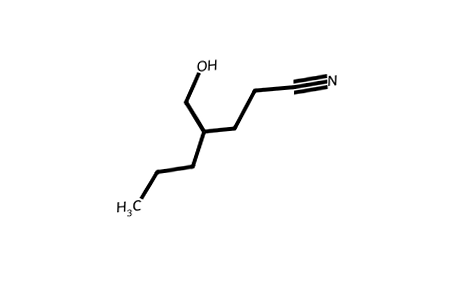 CCCC(CO)CCC#N